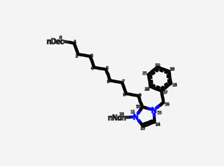 CCCCCCCCCCCCCCCCCCCC1N(CCCCCCCCC)C=CN1Cc1ccccc1